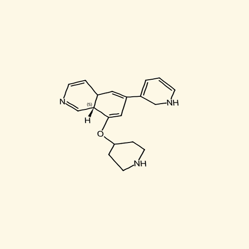 C1=CNCC(C2=CC3C=CN=C[C@H]3C(OC3CCNCC3)=C2)=C1